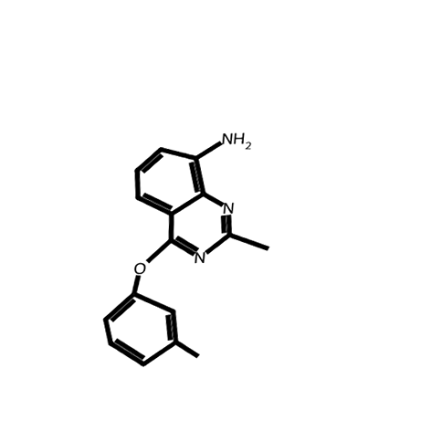 Cc1cccc(Oc2nc(C)nc3c(N)cccc23)c1